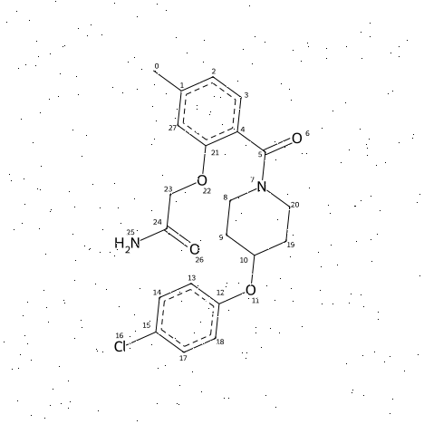 Cc1ccc(C(=O)N2CCC(Oc3ccc(Cl)cc3)CC2)c(OCC(N)=O)c1